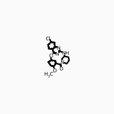 COc1ccc(Cl)cc1C(=O)N1CCCC(Nc2ncc3ccc(Cl)cc3n2)C1